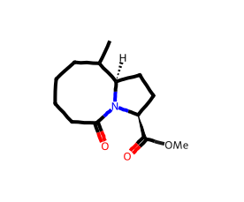 COC(=O)[C@@H]1CC[C@@H]2C(C)CCCCC(=O)N21